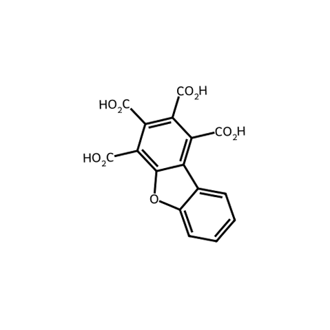 O=C(O)c1c(C(=O)O)c(C(=O)O)c2c(oc3ccccc32)c1C(=O)O